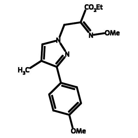 CCOC(=O)C(Cn1cc(C)c(-c2ccc(OC)cc2)n1)=NOC